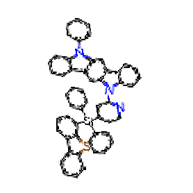 c1ccc(-n2c3ccccc3c3cc4c(cc32)c2ccccc2n4-c2cc([Si](c3ccccc3)(c3ccccc3)c3cccc4c3sc3ccccc34)ccn2)cc1